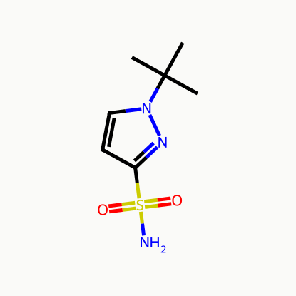 CC(C)(C)n1ccc(S(N)(=O)=O)n1